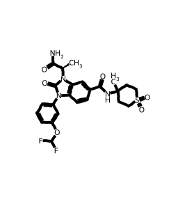 C[C@H](C(N)=O)n1c(=O)n(-c2cccc(OC(F)F)c2)c2ccc(C(=O)NC3(C)CCS(=O)(=O)CC3)cc21